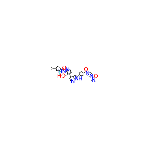 CN(C)C(=O)N1CCN(C(=O)c2ccc(-c3cc4c(-c5ccnc(NC(=O)c6ccc(C7CC7)cc6F)c5CO)ccnc4[nH]3)cc2)CC1